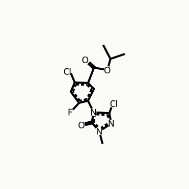 CC(C)OC(=O)c1cc(-n2c(Cl)nn(C)c2=O)c(F)cc1Cl